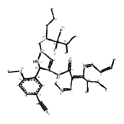 C\C=C/C=N\C(=C(\C=N/C)C(=O)NC1=CN(C[C@H](CCC)C(F)(F)C(C)C)NC1c1cc(C#N)ccc1OC)C(C)CC